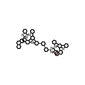 c1cc(-c2cccc(-c3nc(-n4c5ccccc5c5cc6c7ccccc7n7c8ccc9ccccc9c8c(c54)c67)c4ccccc4n3)c2)cc(-c2ccc3c(c2)c2cc4c5ccccc5n(-c5nc(-c6ccc7c(ccc8ccccc87)c6)nc6ccccc56)c4c4c5c6ccccc6ccc5n3c24)c1